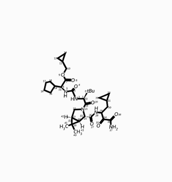 CC(C)(C)[C@H](NC(=O)N[C@H](C(=O)OCC1CC1)C1CCCC1)C(=O)N1C[C@H]2[C@@H]([C@H]1C(=O)NC(CC1CC1)C(=O)C(N)=O)C2(C)C